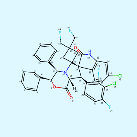 O=C1O[C@@H](c2ccccc2)[C@@H](c2ccccc2)N2[C@@H]1[C@H](c1ccc(F)c(Cl)c1F)[C@@]1(C(=O)Nc3cc(Cl)ccc31)C21CC(CF)(CF)C1